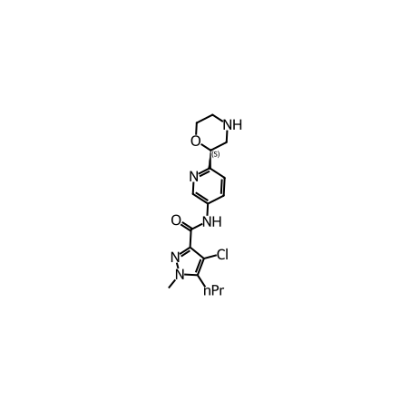 CCCc1c(Cl)c(C(=O)Nc2ccc([C@@H]3CNCCO3)nc2)nn1C